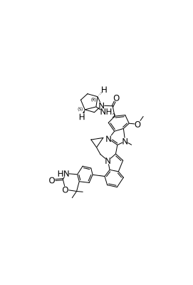 COc1cc(C(=O)N2C[C@@H]3CC[C@@H]2C3N)cc2nc(-c3cc4cccc(-c5ccc6c(c5)C(C)(C)OC(=O)N6)c4n3CC3CC3)n(C)c12